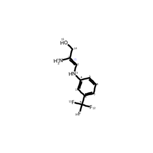 N/C(=C\Nc1cccc(C(F)(F)F)c1)CO